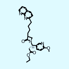 CCOC(=O)C[C@@H](c1ccc(OC)nc1)N1CC(CCCCc2ccc3cccnc3n2)C1=O